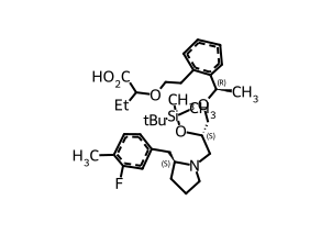 CCC(OCCc1ccccc1[C@@H](C)OC[C@H](CN1CCC[C@H]1Cc1ccc(C)c(F)c1)O[Si](C)(C)C(C)(C)C)C(=O)O